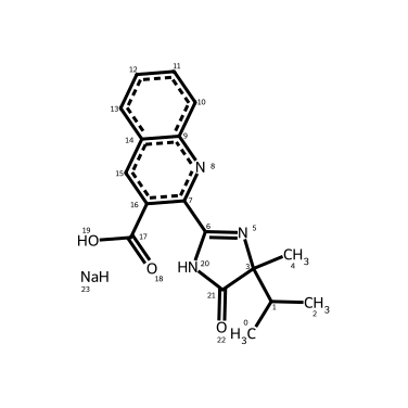 CC(C)C1(C)N=C(c2nc3ccccc3cc2C(=O)O)NC1=O.[NaH]